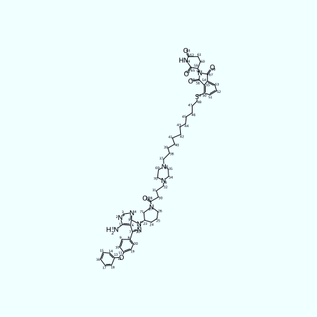 Nc1ncnc2c1c(-c1ccc(Oc3ccccc3)cc1)nn2[C@@H]1CCCN(C(=O)CCCN2CCN(CCCCCCCCCCCCSc3cccc4c3C(=O)N(C3CCC(=O)NC3=O)C4=O)CC2)C1